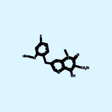 CCCCOc1cc(F)ccc1Cc1cnc2c(O)c(C(=O)OCC)c(=O)n(C)c2c1